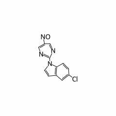 O=Nc1cnc(-n2ccc3cc(Cl)ccc32)nc1